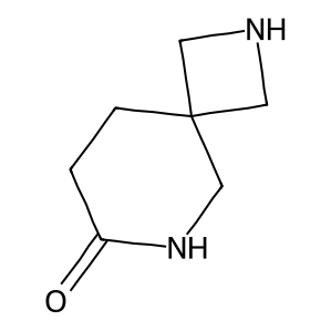 O=C1CCC2(CNC2)CN1